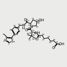 Cc1ncsc1-c1ccc(CNC(=O)C2C[C@@H](O)CN2C(=O)[C@@H](NC(=O)CCCCCC(=O)O)C(C)(C)C)cc1